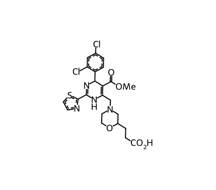 COC(=O)C1=C(CN2CCOC(CCC(=O)O)C2)NC(c2nccs2)=NC1c1ccc(Cl)cc1Cl